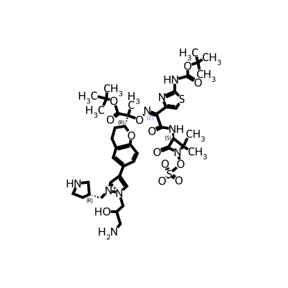 CC(C)(C)OC(=O)Nc1nc(/C(=N/OC(C)(C(=O)OC(C)(C)C)[C@H]2CCc3cc(-c4cn(CC(O)CN)[n+](C[C@@H]5CCNC5)c4)ccc3O2)C(=O)N[C@@H]2C(=O)N(OS(=O)(=O)[O-])C2(C)C)cs1